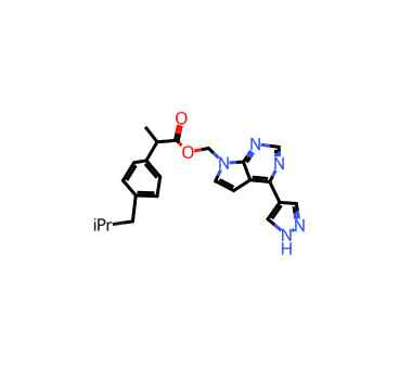 CC(C)Cc1ccc(C(C)C(=O)OCn2ccc3c(-c4cn[nH]c4)ncnc32)cc1